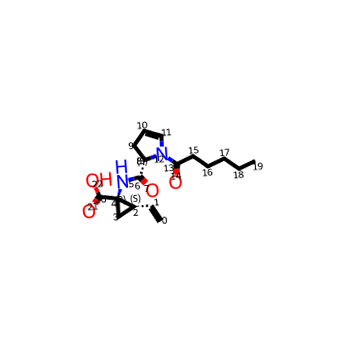 C=C[C@@H]1C[C@]1(NC(=O)[C@@H]1CC=CN1C(=O)CCCCC)C(=O)O